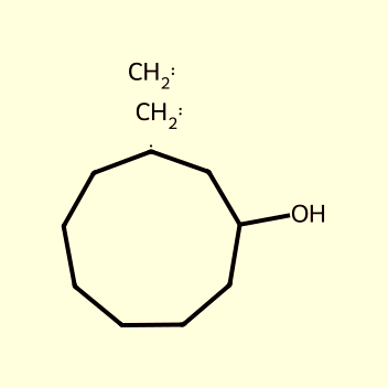 OC1C[CH]CCCCCC1.[CH2].[CH2]